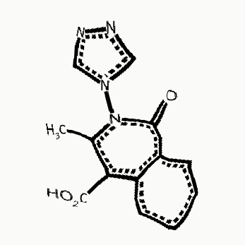 Cc1c(C(=O)O)c2ccccc2c(=O)n1-n1cnnc1